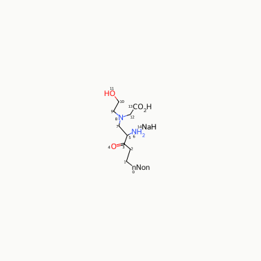 CCCCCCCCCCCC(=O)C(N)CN(CCO)CC(=O)O.[NaH]